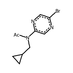 CC(=O)N(CC1CC1)c1cnc(Br)cn1